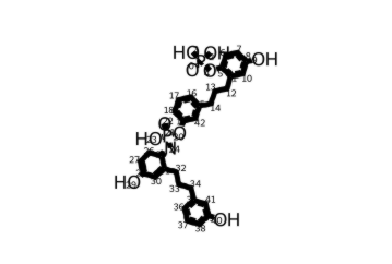 O=P(O)(O)Oc1ccc(O)cc1CCCc1cccc(OP(=O)(O)N=C2CC=C(O)C=C2CCCc2cccc(O)c2)c1